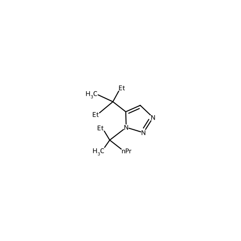 CCCC(C)(CC)n1nncc1C(C)(CC)CC